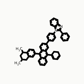 CC1Cc2cc(-c3c4ccccc4c(C4=CC=CCC4)c4cc(-c5ccc(-n6c(-c7ccccc7)nc7ccccc76)cc5)ccc34)ccc2C(C)C1